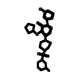 CC1CCCN(S(=O)(=O)N2CCN(c3cnn(-c4cccc(Cl)c4)c(=O)c3OC3CCCC3)CC2)C1